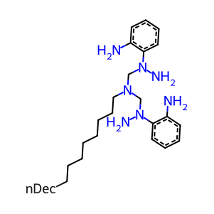 CCCCCCCCCCCCCCCCCCN(CN(N)c1ccccc1N)CN(N)c1ccccc1N